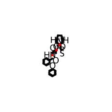 C=CCOC(=O)N1[C@@H]2CC[C@H]1C[C@@H](N(P=S)C(=O)CNC(=O)c1ccccc1Oc1ccccc1)C2